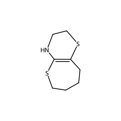 C1CCC2=C(NCCS2)SC1